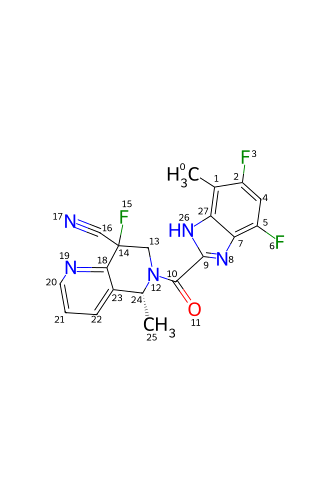 Cc1c(F)cc(F)c2nc(C(=O)N3CC(F)(C#N)c4ncccc4[C@H]3C)[nH]c12